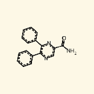 NC(=O)c1cnc(-c2ccccc2)c(-c2ccccc2)n1